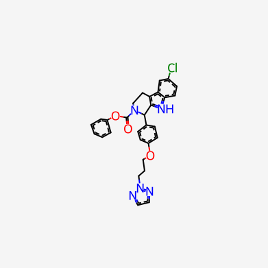 O=C(Oc1ccccc1)N1CCc2c([nH]c3ccc(Cl)cc23)C1c1ccc(OCCCn2nccn2)cc1